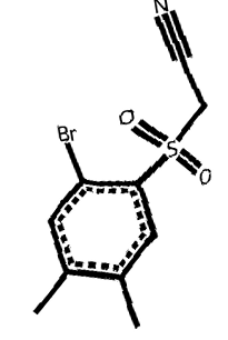 Cc1cc(Br)c(S(=O)(=O)CC#N)cc1C